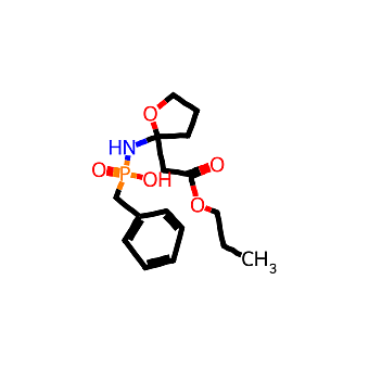 CCCOC(=O)CC1(NP(=O)(O)Cc2ccccc2)CCCO1